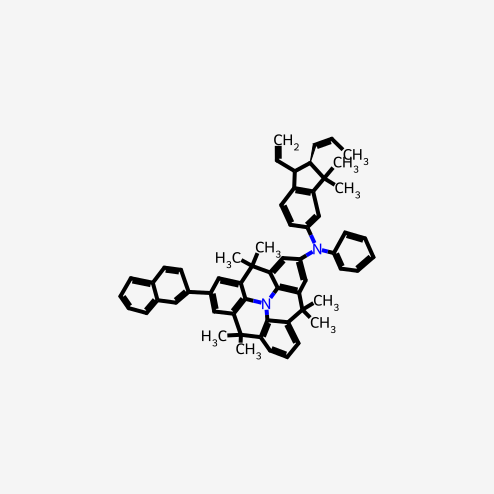 C=CC1c2ccc(N(c3ccccc3)c3cc4c5c(c3)C(C)(C)c3cc(-c6ccc7ccccc7c6)cc6c3N5c3c(cccc3C4(C)C)C6(C)C)cc2C(C)(C)[C@@H]1/C=C\C